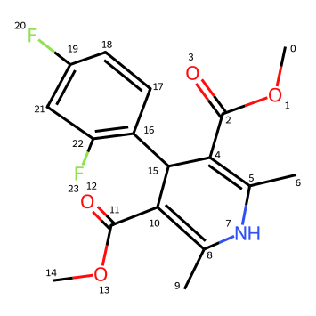 COC(=O)C1=C(C)NC(C)=C(C(=O)OC)C1c1ccc(F)cc1F